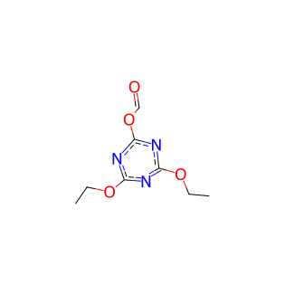 CCOc1nc(OC=O)nc(OCC)n1